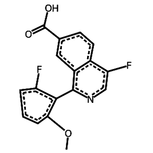 COc1cccc(F)c1-c1ncc(F)c2ccc(C(=O)O)cc12